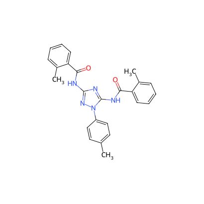 Cc1ccc(-n2nc(NC(=O)c3ccccc3C)nc2NC(=O)c2ccccc2C)cc1